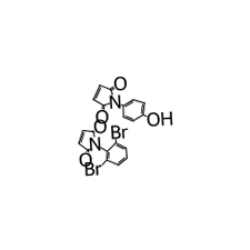 O=C1C=CC(=O)N1c1c(Br)cccc1Br.O=C1C=CC(=O)N1c1ccc(O)cc1